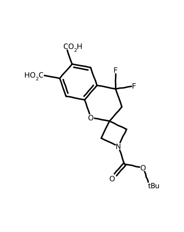 CC(C)(C)OC(=O)N1CC2(C1)CC(F)(F)c1cc(C(=O)O)c(C(=O)O)cc1O2